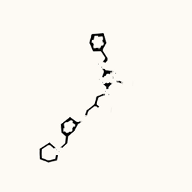 Cn1nc(N=Cc2ccccc2)nc1NCC(O)COc1cccc(CN2CCCCC2)c1